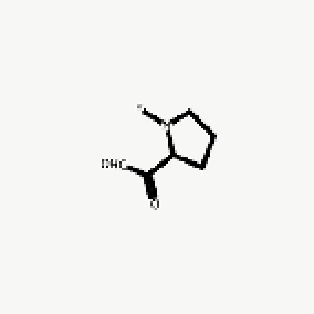 O=CC(=O)C1CCCN1F